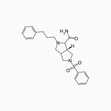 NC(=O)C1[C@@H]2CN(S(=O)(=O)c3ccccc3)CC2CN1CC[CH]c1ccccc1